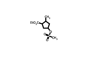 CCOC(=O)C1CC(OS(C)(=O)=O)CC1C